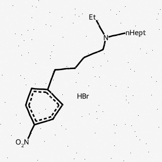 Br.CCCCCCCN(CC)CCCCc1ccc([N+](=O)[O-])cc1